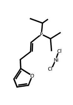 CC(C)P(C=CCc1ccco1)C(C)C.[Cl][Ni][Cl]